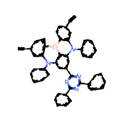 C#Cc1ccc2c(c1)N(c1ccccc1)c1cc(-c3nc(-c4ccccc4)nc(-c4ccccc4)n3)cc3c1B2c1ccc(C#C)cc1N3c1ccccc1